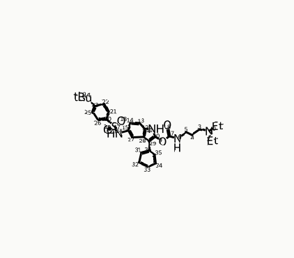 CCN(CC)CCCNC(=O)Oc1[nH]c2ccc(NS(=O)(=O)c3ccc(C(C)(C)C)cc3)cc2c1-c1ccccc1